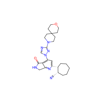 N#C[C@H]1CCCCC[C@H]1c1cc(-n2cnc(N3CCC4(CCOCC4)CC3)n2)c2c(n1)CNC2=O